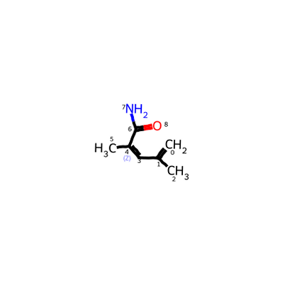 C=C(C)/C=C(/C)C(N)=O